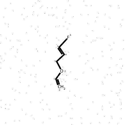 C=COCC=CF